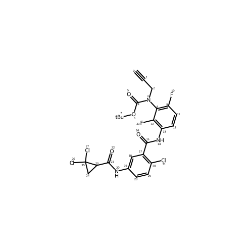 C#CCN(C(=O)OC(C)(C)C)c1c(F)ccc(NC(=O)c2cc(NC(=O)C3CC3(Cl)Cl)ccc2Cl)c1F